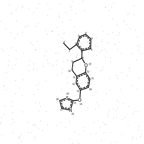 CCc1ccccc1C1CCc2cc(Oc3nccs3)ccc2O1